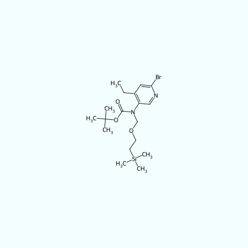 CCc1cc(Br)ncc1N(COCC[Si](C)(C)C)C(=O)OC(C)(C)C